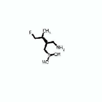 C/C(CF)=C(\CN)CB(O)O